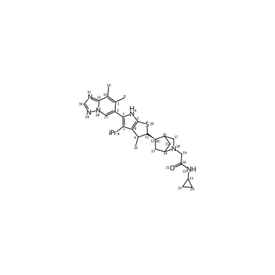 Cc1c(-c2[nH]c3c(c2C(C)C)C(C)C([C@@H]2CC4CC2CN4CC(=O)NC2CC2)S3)cn2ncnc2c1C